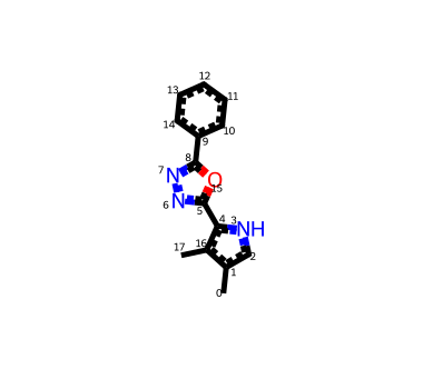 Cc1c[nH]c(-c2nnc(-c3ccccc3)o2)c1C